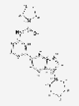 O=C(Nc1cccc(-c2cnn3c(N4CCOCC4)cnc3n2)c1)N1CCCC1